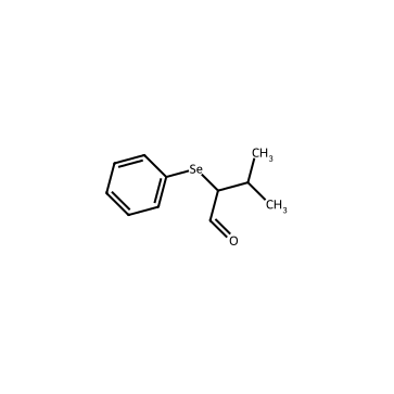 CC(C)C(C=O)[Se]c1ccccc1